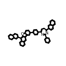 C1=C(c2ccc(-c3ccc4oc5c(-c6ccc7ccccc7c6)c6ccccc6cc5c4c3)cc2)N=C(c2ccccc2)N=C(c2ccc3ccccc3c2)C1